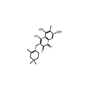 CC1=C(CC2=C(O)c3c(cc(O)c(C)c3O)C(=O)C2=O)CCC(C)(C)C1